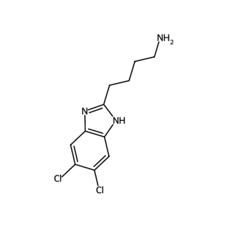 NCCCCc1nc2cc(Cl)c(Cl)cc2[nH]1